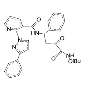 CC(C)CONC(=O)C(=O)CC(NC(=O)c1cccnc1-n1ccc(-c2ccccc2)n1)c1ccccc1